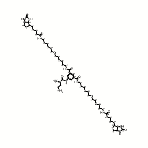 CN(CCN)C(=O)Nc1cc(C(=O)NCCCOCCOCCOCCCNC(=O)CCCCC2SCC3NC(=O)NC32)cc(C(=O)NCCCOCCOCCOCCCNC(=O)CCCCC2SCC3NC(=O)NC32)c1